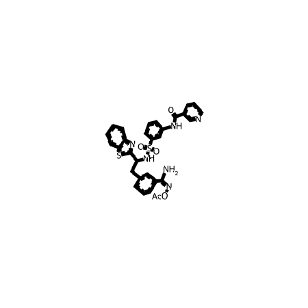 CC(=O)O/N=C(/N)c1cccc(CC(NS(=O)(=O)c2cccc(NC(=O)c3cccnc3)c2)c2nc3ccccc3s2)c1